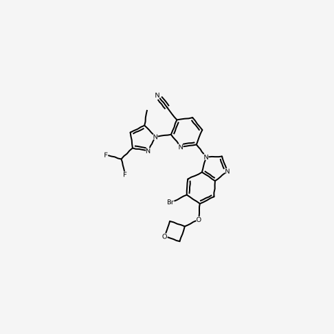 Cc1cc(C(F)F)nn1-c1nc(-n2cnc3cc(OC4COC4)c(Br)cc32)ccc1C#N